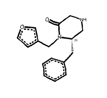 O=C1CNC[C@H](Cc2ccccc2)N1Cc1ccoc1